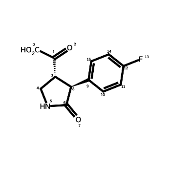 O=C(O)C(=O)[C@H]1CNC(=O)[C@@H]1c1ccc(F)cc1